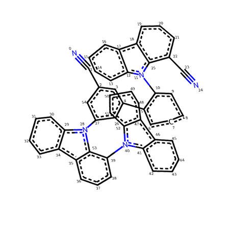 N#Cc1cc(-c2ccccc2-n2c3ccccc3c3cccc(C#N)c32)cc(-n2c3ccccc3c3cccc(-n4c5ccccc5c5ccccc54)c32)c1